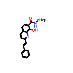 CCCCCCCNC(=O)c1ccc2ccc(C=Cc3ccccc3)nc2c1O